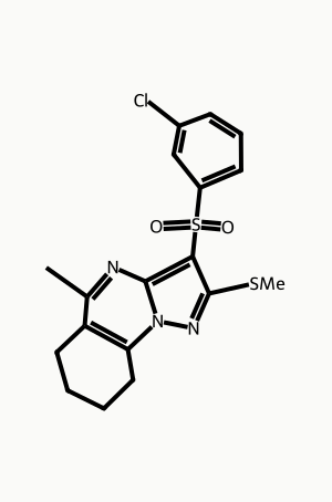 CSc1nn2c3c(c(C)nc2c1S(=O)(=O)c1cccc(Cl)c1)CCCC3